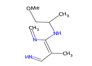 C=N/C(NC(C)COC)=C(/C)C=N